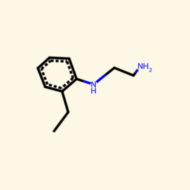 CCc1ccccc1NCCN